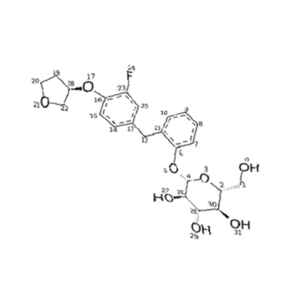 OC[C@H]1O[C@@H](Oc2ccccc2Cc2ccc(O[C@@H]3CCOC3)c(F)c2)[C@H](O)[C@@H](O)[C@@H]1O